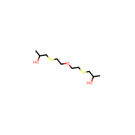 [CH2]C(O)CSCCOCCSCC([CH2])O